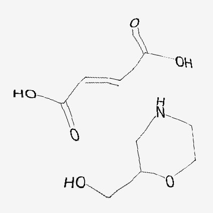 O=C(O)/C=C/C(=O)O.OCC1CNCCO1